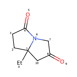 CCC12CCC(=O)N1CC(=O)C2